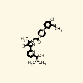 COc1cc(N2CCN(C(=O)Cn3nc(-c4cccc(C(O)N(C)C)n4)c(Cl)c3C)CC2)ccc1Cl